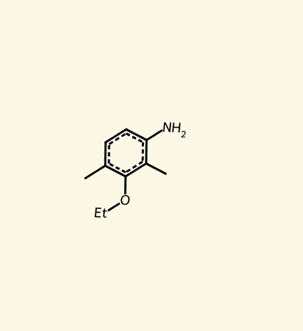 CCOc1c(C)ccc(N)c1C